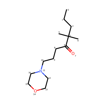 CCCC(C)(C)C(=O)CCCN1CCOCC1